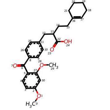 COc1ccc(C(=O)c2ccc(CC(CCC3=CCCCC3)C(=O)O)cc2)c(OC)c1